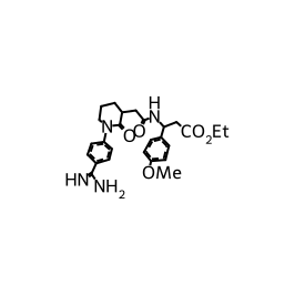 CCOC(=O)CC(NC(=O)CC1CCCN(c2ccc(C(=N)N)cc2)C1=O)c1ccc(OC)cc1